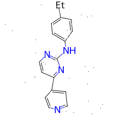 CCc1ccc(Nc2nccc(-c3ccncc3)n2)cc1